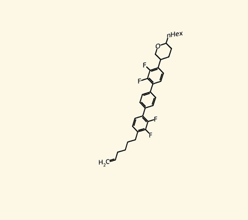 C=CCCCCc1ccc(-c2ccc(-c3ccc(C4CCC(CCCCCC)OC4)c(F)c3F)cc2)c(F)c1F